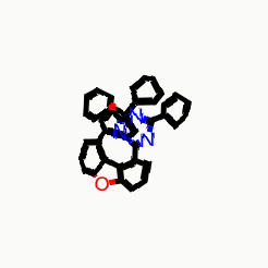 c1ccc(-c2ccc(-c3cccc4oc5cccc(-c6nc(-c7ccccc7)nc(-c7ccccc7)n6)c5c34)cc2)cc1